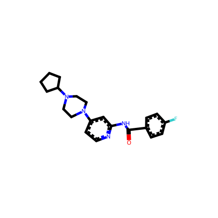 O=C(Nc1cc(N2CCN(C3CCCC3)CC2)ccn1)c1ccc(F)cc1